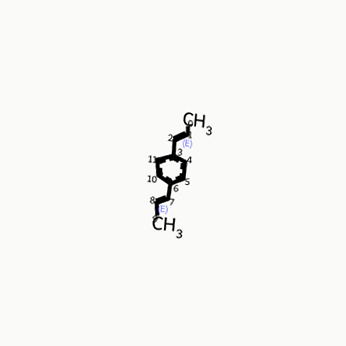 C/C=C/c1ccc(/C=C/C)cc1